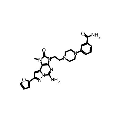 Cn1c(=O)n(CCN2CCN(c3cccc(C(N)=O)c3)CC2)c2nc(N)n3nc(-c4ccco4)cc3c21